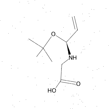 C=C[C@@H](NCC(=O)O)OC(C)(C)C